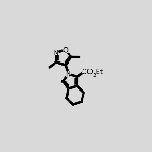 CCOC(=O)c1c2c(cn1-c1c(C)noc1C)CCCC2